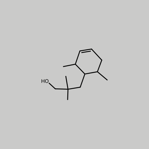 CC1C=CCC(C)C1CC(C)(C)CO